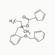 CC[N+](C)(Cc1ccccc1OCc1ccccc1)OC(=O)c1ccccc1